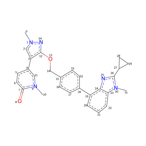 Cn1cc(-c2ccc(=O)n(C)c2)c(OCc2ccc(-c3cccc4c3nc(C3CC3)n4C)cc2)n1